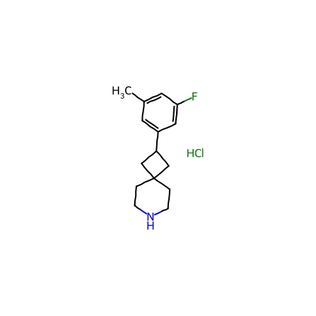 Cc1cc(F)cc(C2CC3(CCNCC3)C2)c1.Cl